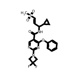 CS(=O)(=O)C=CC(NC(=O)c1cnc(N2CC(F)(F)C2)nc1Oc1ccccc1)C1CC1